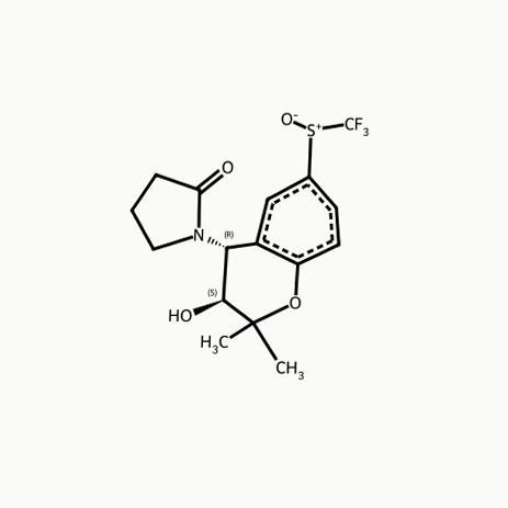 CC1(C)Oc2ccc([S+]([O-])C(F)(F)F)cc2[C@@H](N2CCCC2=O)[C@@H]1O